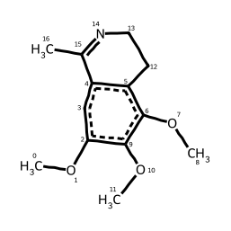 COc1cc2c(c(OC)c1OC)CCN=C2C